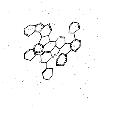 CC1C(C2=C=C(C3=CC=CCC3)NC(C3=CCCCC3)N2)=C(N2c3ccccc3C3c4c(sc5c4C=CCC5)C=CC32)N=CC1c1c(-c2ccccc2)cccc1C1C=CC=CC1